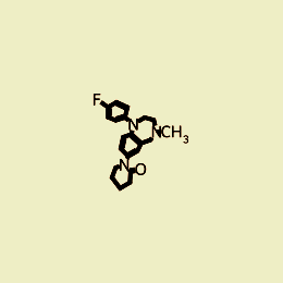 CN1CCN(c2ccc(F)cc2)c2ccc(N3CCCCC3=O)cc2C1